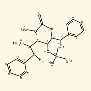 CC(C)(C)OC(=O)NC(Cc1ccccc1)C(CC(C(=O)O)C(F)c1ccccc1)O[Si](C)(C)C(C)(C)C